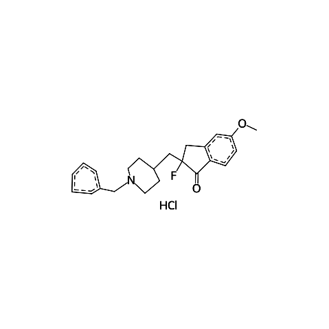 COc1ccc2c(c1)CC(F)(CC1CCN(Cc3ccccc3)CC1)C2=O.Cl